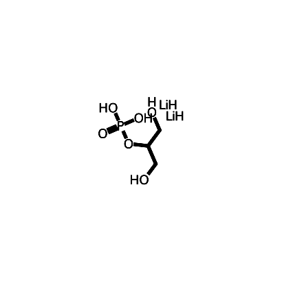 O=P(O)(O)OC(CO)CO.[LiH].[LiH]